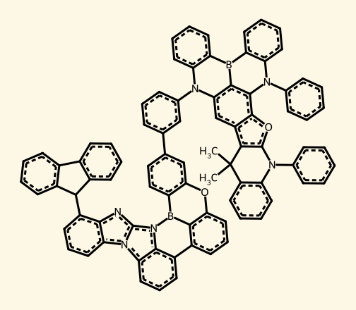 CC1(C)c2ccccc2N(c2ccccc2)c2oc3c4c5c(cc3c21)N(c1cccc(-c2ccc3c(c2)Oc2cccc6c2B3n2c3c-6cccc3n3c6cccc(C7c8ccccc8-c8ccccc87)c6nc23)c1)c1ccccc1B5c1ccccc1N4c1ccccc1